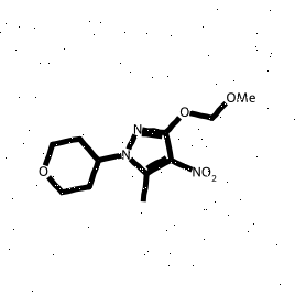 COCOc1nn(C2CCOCC2)c(C)c1[N+](=O)[O-]